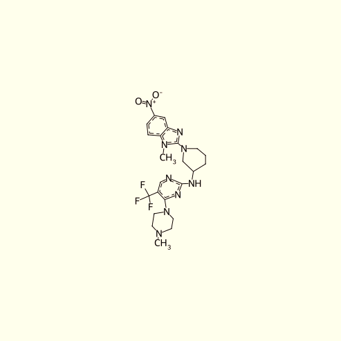 CN1CCN(c2nc(NC3CCCN(c4nc5cc([N+](=O)[O-])ccc5n4C)C3)ncc2C(F)(F)F)CC1